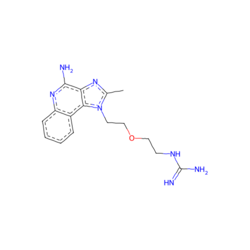 Cc1nc2c(N)nc3ccccc3c2n1CCOCCNC(=N)N